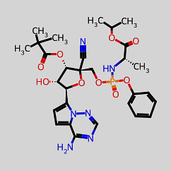 CC(C)OC(=O)[C@H](C)NP(=O)(OC[C@@]1(C#N)O[C@@H](c2ccc3c(N)ncnn23)[C@H](O)[C@@H]1OC(=O)C(C)(C)C)Oc1ccccc1